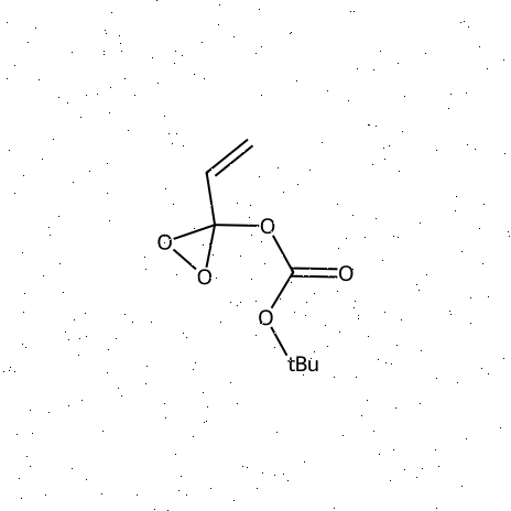 C=CC1(OC(=O)OC(C)(C)C)OO1